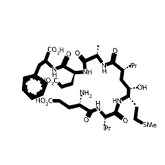 CSCC[C@H](NC(=O)[C@@H](NC(=O)[C@@H](N)CCC(=O)O)C(C)C)[C@@H](O)C[C@H](C(=O)N[C@@H](C)C(=O)N[C@@H](CCC(=O)O)C(=O)NC(Cc1ccccc1)C(=O)O)C(C)C